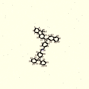 CC1(C)c2ccccc2-c2ccc(N(c3ccc(/C=C/c4ccc(N(c5ccccc5)c5ccccc5)cc4)cc3)c3ccc4ccccc4c3)cc21